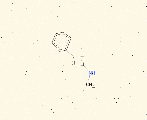 CNC1CC(c2ccccc2)C1